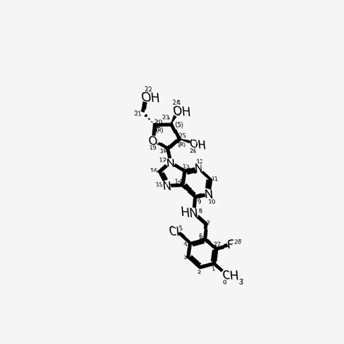 Cc1ccc(Cl)c(CNc2ncnc3c2ncn3C2O[C@H](CO)[C@@H](O)[C@H]2O)c1F